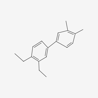 CCc1ccc(-c2ccc(C)c(C)c2)cc1CC